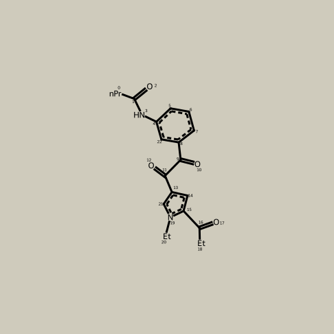 CCCC(=O)Nc1cccc(C(=O)C(=O)c2cc(C(=O)CC)n(CC)c2)c1